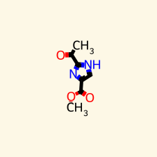 COC(=O)c1c[nH]c(C(C)=O)n1